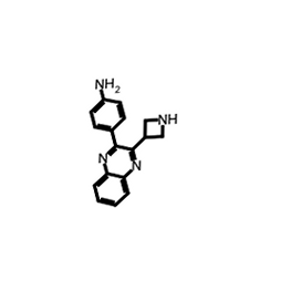 Nc1ccc(-c2nc3ccccc3nc2C2CNC2)cc1